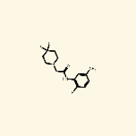 Nc1ccc(F)c(NC(=O)CN2CCC(F)(F)CC2)c1